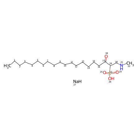 CCCCCCCCCCCCCCCCCC(=O)C(CNC)S(=O)(=O)O.[NaH]